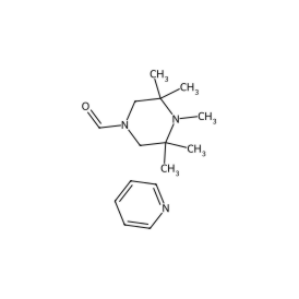 CN1C(C)(C)CN(C=O)CC1(C)C.c1ccncc1